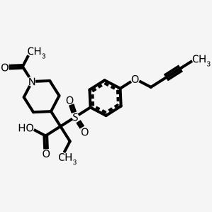 CC#CCOc1ccc(S(=O)(=O)C(CC)(C(=O)O)C2CCN(C(C)=O)CC2)cc1